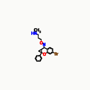 CNCCCON=C1c2ccc(Br)cc2OC2(c3ccccc3)CC12